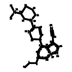 CCCc1cc(C2C=CC(N3CCCC(N(C)C)C3)=NC2)c2c(C#N)cnn2c1